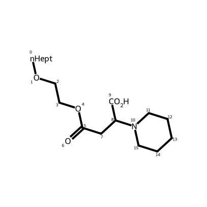 CCCCCCCOCCOC(=O)CC(C(=O)O)N1CCCCC1